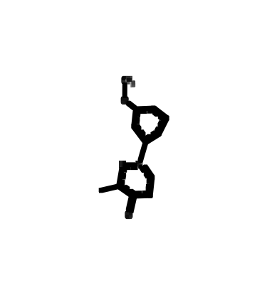 Cc1nn(-c2cccc(OC(F)(F)F)c2)ccc1=O